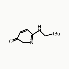 CC(C)(C)CNC1=NCC(=O)C=C1